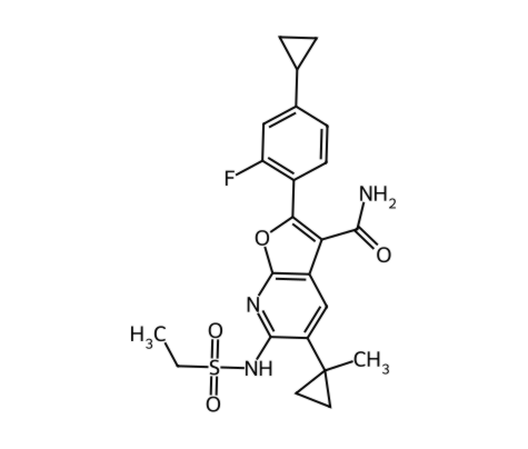 CCS(=O)(=O)Nc1nc2oc(-c3ccc(C4CC4)cc3F)c(C(N)=O)c2cc1C1(C)CC1